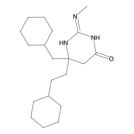 C/N=C1\NC(=O)CC(CCC2CCCCC2)(CC2CCCCC2)N1